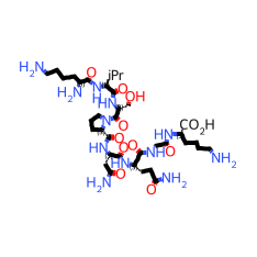 CC(C)[C@H](NC(=O)[C@@H](N)CCCCN)C(=O)N[C@H](CO)C(=O)N1CCC[C@H]1C(=O)N[C@@H](CC(N)=O)C(=O)N[C@@H](CCC(N)=O)C(=O)NCC(=O)N[C@@H](CCCCN)C(=O)O